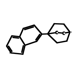 [c]1ccc2ccc(C34CC[C](CC3)CC4)cc2c1